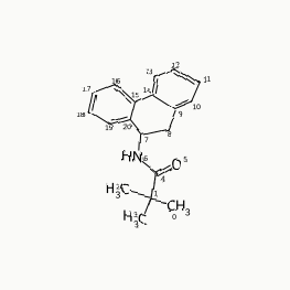 CC(C)(C)C(=O)NC1Cc2ccccc2-c2ccccc21